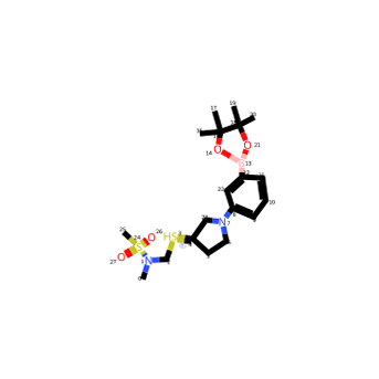 CN(C/[SH]=C1\CCN(c2cccc(B3OC(C)(C)C(C)(C)O3)c2)C1)S(C)(=O)=O